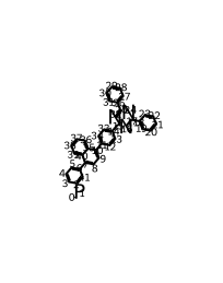 C=Pc1cccc(-c2ccc(-c3ccc(-c4nc(-c5ccccc5)nc(-c5ccccc5)n4)cc3)c3ccccc23)c1